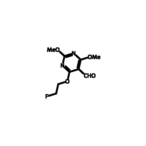 COc1nc(OC)c(C=O)c(OCCF)n1